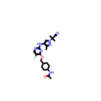 CC(=O)NC1CCC(COc2nc(Nc3cn(C(C)(C)C#N)nc3C)ncc2F)CC1